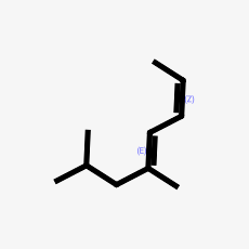 C/C=C\C=C(/C)CC(C)C